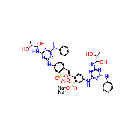 CC(O)C(O)Nc1nc(Nc2ccccc2)nc(Nc2ccc(C=Cc3ccc(Nc4nc(Nc5ccccc5)nc(NC(O)C(C)O)n4)cc3S(=O)(=O)[O-])c(S(=O)(=O)[O-])c2)n1.[Na+].[Na+]